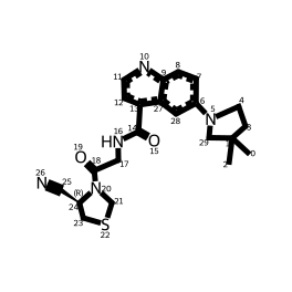 CC1(C)CCN(c2ccc3nccc(C(=O)NCC(=O)N4CSC[C@H]4C#N)c3c2)C1